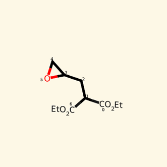 CCOC(=O)C(CC1CO1)C(=O)OCC